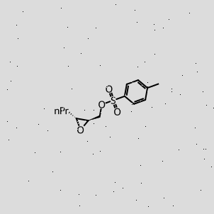 CCC[C@H]1O[C@@H]1COS(=O)(=O)c1ccc(C)cc1